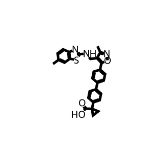 Cc1ccc2nc(NCc3c(C)noc3-c3ccc(-c4ccc(C5(C(=O)O)CC5)cc4)cc3)sc2c1